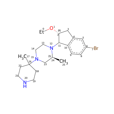 CCO[C@@H]1Cc2cc(Br)ccc2C1N1CCN(C2(C)CCNCC2)C[C@@H]1C